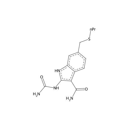 CCCSCc1ccc2c(C(N)=O)c(NC(N)=O)[nH]c2c1